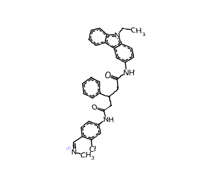 CCn1c2ccccc2c2cc(NC(=O)CC(CC(=O)Nc3ccc(/C=N\C)c(Cl)c3)c3ccccc3)ccc21